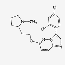 CN1CCCC1CCOc1ccc2ncc(-c3ccc(Cl)cc3Cl)n2n1